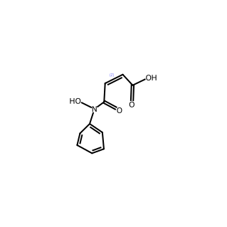 O=C(O)/C=C\C(=O)N(O)c1ccccc1